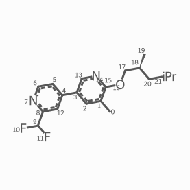 Cc1cc(-c2ccnc(C(F)F)c2)cnc1OC[C@@H](C)CC(C)C